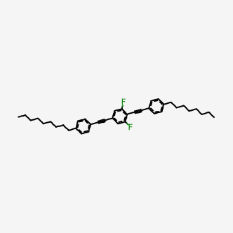 CCCCCCCCCc1ccc(C#Cc2cc(F)c(C#Cc3ccc(CCCCCCCC)cc3)c(F)c2)cc1